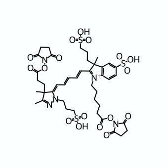 CC1=NN(CCCS(=O)(=O)O)\C(=C/C=C/C=C/C2=[N+](CCCCCC(=O)ON3C(=O)CCC3=O)c3ccc(S(=O)(=O)O)cc3C2(C)CCCS(=O)(=O)O)C1(C)CCC(=O)ON1C(=O)CCC1=O